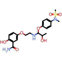 CC(O)C(NCCOc1ccc(O)c(C(N)=O)c1)Oc1ccc(N(C)S(C)(=O)=O)cc1